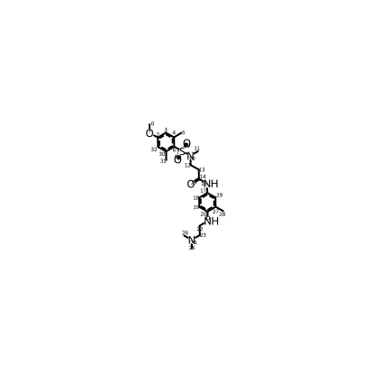 COc1cc(C)c(S(=O)(=O)N(C)CCC(=O)Nc2ccc(NCCN(C)C)c(C)c2)c(C)c1